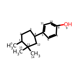 CC1CCC(c2ccc(O)cc2)CC1(C)C